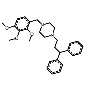 COc1ccc(CN2CCN(CCC(c3ccccc3)c3ccccc3)CC2)c(OC)c1OC